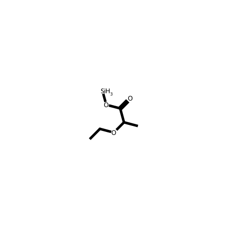 CCOC(C)C(=O)O[SiH3]